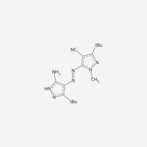 Cn1nc(C(C)(C)C)c(C#N)c1N=Nc1c(C(C)(C)C)n[nH]c1N